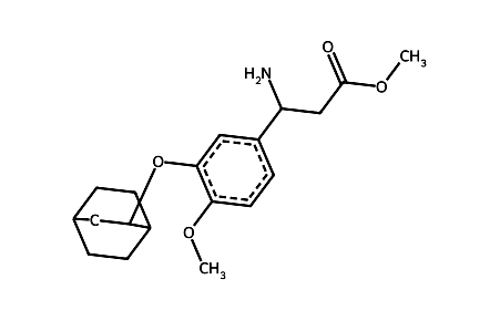 COC(=O)CC(N)c1ccc(OC)c(OC2CC3CCC2CC3)c1